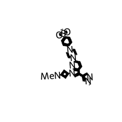 CN[C@H]1C[C@H](n2cc(-c3cnn(C)c3)c3ccc(N4CCN(c5ccc(S(C)(=O)=O)cc5)CC4)nc32)C1